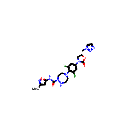 COc1cc(NC(=O)N2CCN(c3c(F)cc(N4C[C@H](Cn5ccnn5)OC4=O)cc3F)CCN2)on1